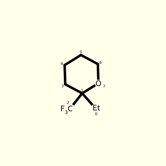 CCC1(C(F)(F)F)CCCCO1